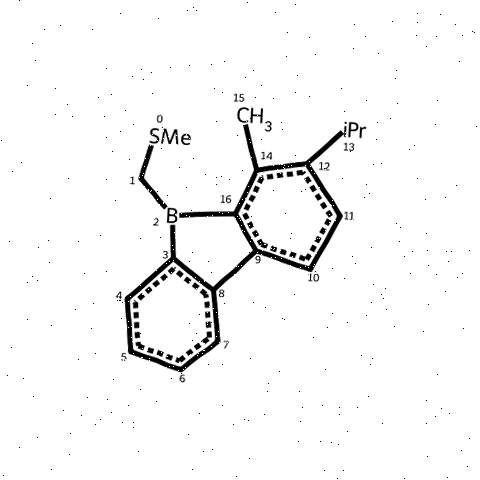 CSCB1c2ccccc2-c2ccc(C(C)C)c(C)c21